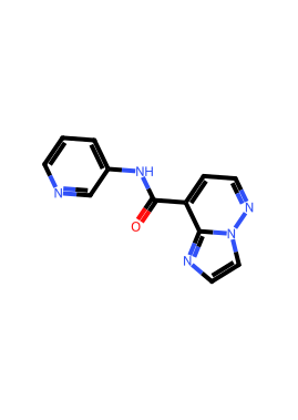 O=C(Nc1cccnc1)c1ccnn2ccnc12